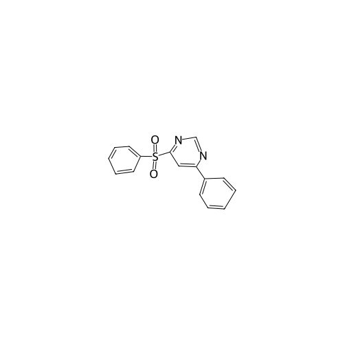 O=S(=O)(c1ccccc1)c1cc(-c2ccccc2)ncn1